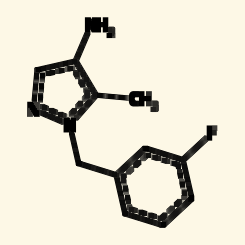 Cc1c(N)cnn1Cc1cccc(F)c1